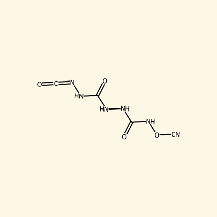 N#CONC(=O)NNC(=O)NN=C=O